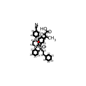 Cc1c(C(=O)O)oc2ccc(S(=O)(=O)N(CCc3ccccc3)c3ccccc3N3CCN(c4ccc(C#N)cc4)CC3)cc12